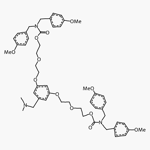 COc1ccc(CN(Cc2ccc(OC)cc2)C(=O)OCCOCCOc2cc(CN(C)C)cc(OCCOCCOC(=O)N(Cc3ccc(OC)cc3)Cc3ccc(OC)cc3)c2)cc1